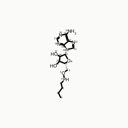 CCCCPOC[C@H]1O[C@@H](n2cnc3c(N)ncnc32)C(O)C1O